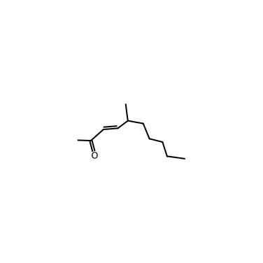 CCCCCC(C)C=CC(C)=O